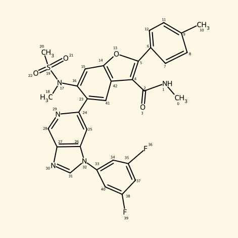 CNC(=O)c1c(-c2ccc(C)cc2)oc2cc(N(C)S(C)(=O)=O)c(-c3cc4c(cn3)ncn4-c3cc(F)cc(F)c3)cc12